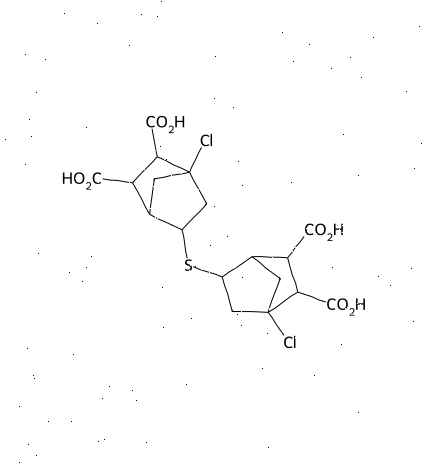 O=C(O)C1C2CC(Cl)(CC2SC2CC3(Cl)CC2C(C(=O)O)C3C(=O)O)C1C(=O)O